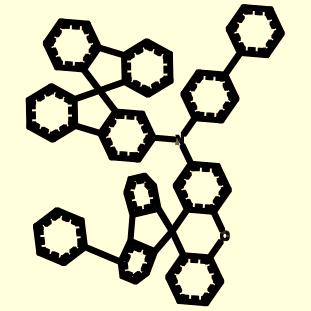 c1ccc(-c2ccc(N(c3ccc4c(c3)C3(c5ccccc5O4)c4ccccc4-c4c(-c5ccccc5)cccc43)c3ccc4c(c3)C3(c5ccccc5-c5ccccc53)c3ccccc3-4)cc2)cc1